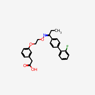 CCC(=NOCCOc1cccc(CC(=O)O)c1)c1ccc(-c2ccccc2F)cc1